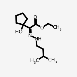 CCOC(=O)/C(=N\NCCC(C)C)C1(O)CCCC1